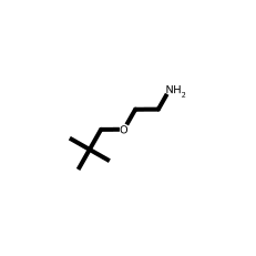 CC(C)(C)COCCN